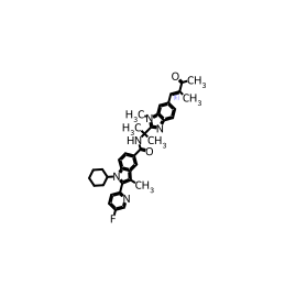 CC(=O)/C(C)=C/c1ccc2nc(C(C)(C)NC(=O)c3ccc4c(c3)c(C)c(-c3ccc(F)cn3)n4C3CCCCC3)n(C)c2c1